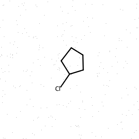 Cl[C]1CCCC1